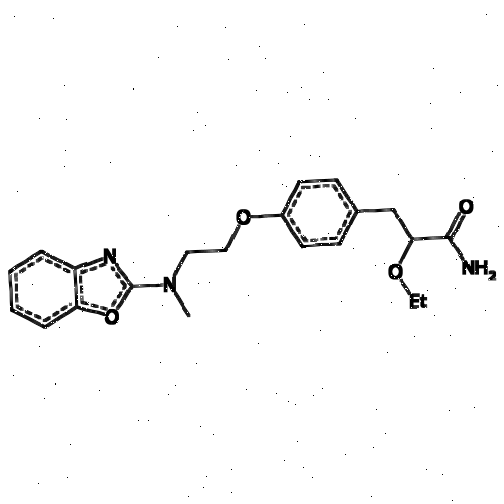 CCOC(Cc1ccc(OCCN(C)c2nc3ccccc3o2)cc1)C(N)=O